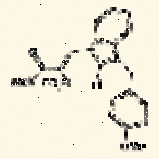 CCOC(=O)C(=Cc1c(Cl)n(Cc2ccc(OC)cc2)c2ccccc12)C(=O)NC